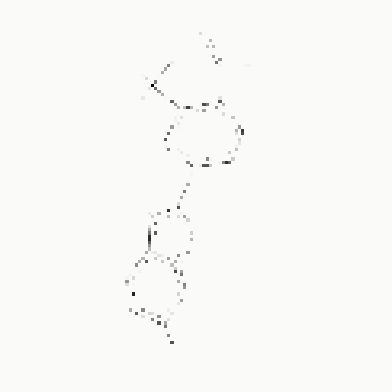 Cc1ccc2nc(-c3ccc([N+](=O)[O-])c(C(F)(F)F)c3)sc2c1